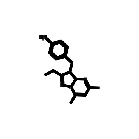 CCC1=NN2C(C)=CC(C)=NC2C1Cc1ccc(N)cc1